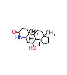 C[C@@]12CCC[C@H]1[C@@H]1C(O)CC3NC(=O)CC[C@]3(C)[C@@H]1CC2